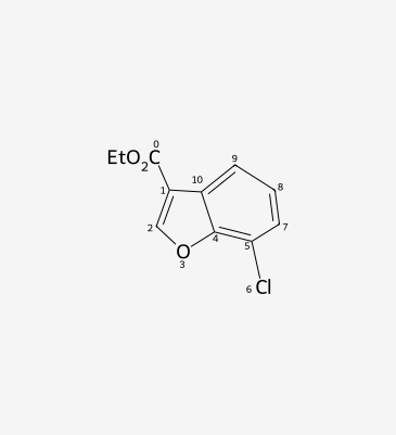 CCOC(=O)c1coc2c(Cl)cccc12